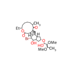 CC[C@H]1CCCC[C@@H](C)C(=O)C2=CC3[C@@H]4C[C@H](O[C@H](O)/C(OC)=C(/C)OC)CC4C(O)C(Br)[C@H]3[C@@H]2CC(=O)O1